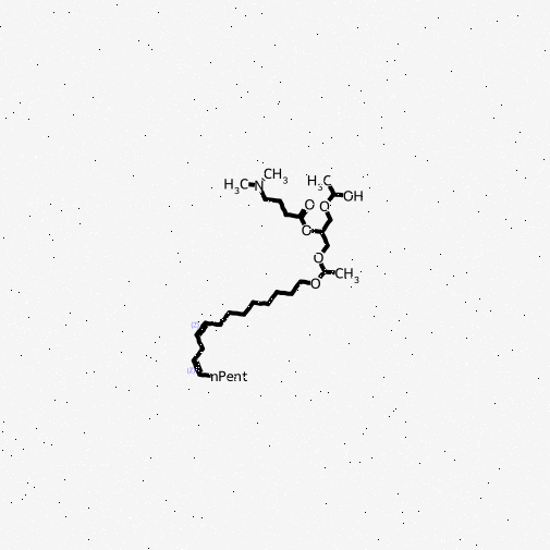 CCCCC/C=C\C/C=C\CCCCCCCCOC(C)OCC(COC(C)O)OC(=O)CCCN(C)C